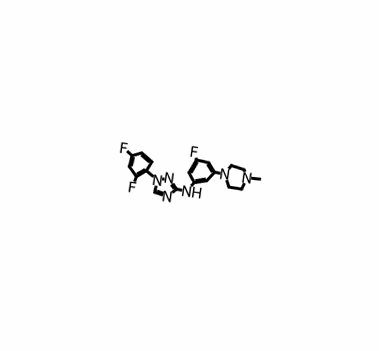 CN1CCN(c2cc(F)cc(Nc3ncn(-c4ccc(F)cc4F)n3)c2)CC1